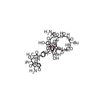 CC[C@H](C)[C@@H]1NC(=O)CNC(=O)C2Cc3c([nH]c4cc(OCc5ccc(NC(=O)[C@H](C)NC(=O)[C@@H](NC(=O)[C@H](CN)N6C(=O)C=CC6=O)C(C)C)cc5)ccc34)[S@+]([O-])CC(NC(=O)CNC1=O)C(=O)N[C@@H](CC(N)=O)C(=O)N1C[C@H](O)C[C@H]1C(=O)N[C@@H]([C@@H](C)[C@@H](O)CO)C(=O)N2